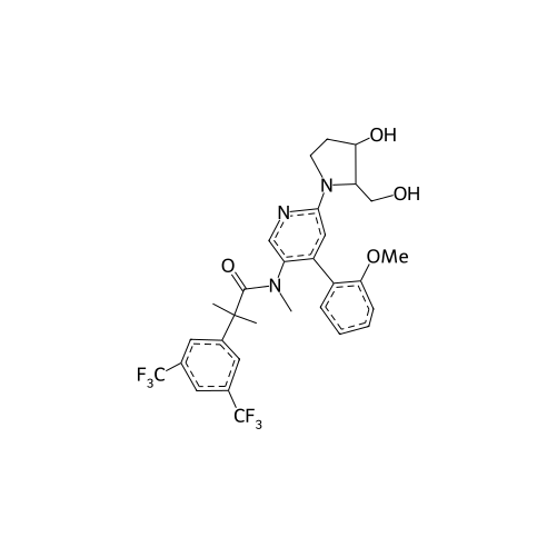 COc1ccccc1-c1cc(N2CCC(O)C2CO)ncc1N(C)C(=O)C(C)(C)c1cc(C(F)(F)F)cc(C(F)(F)F)c1